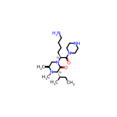 C=C1CN([C@@H](CCCCN)C(=O)N2CCNCC2)C(=O)[C@H](C(C)CC)N1C